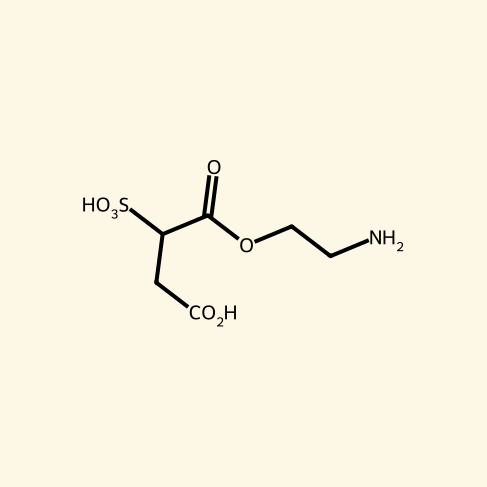 NCCOC(=O)C(CC(=O)O)S(=O)(=O)O